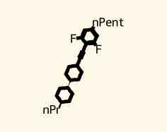 CCCCCc1cc(F)c(C#CC2CCC([C@H]3CC[C@H](CCC)CC3)CC2)c(F)c1